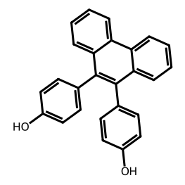 Oc1ccc(-c2c(-c3ccc(O)cc3)c3ccccc3c3ccccc23)cc1